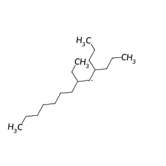 CCCCCCCC([CH]C(CCC)CCC)CC